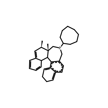 C[C@@H]1C=C2C=CC=CC2C2c3c(ccc4c3=CCCC=4)CP(C3CCCCCCC3)C[C@]21C